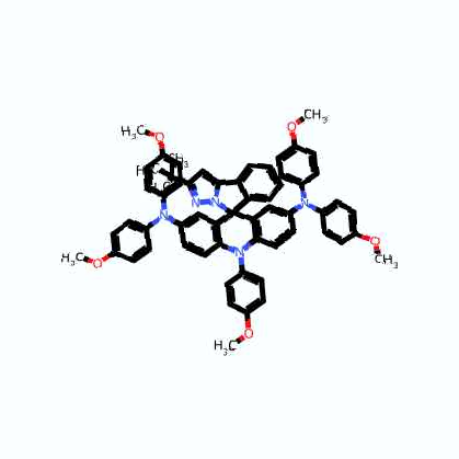 COc1ccc(N(c2ccc(OC)cc2)c2ccc3c(c2)C2(c4ccccc4-c4cc(C(C)(C)C)nn42)c2cc(N(c4ccc(OC)cc4)c4ccc(OC)cc4)ccc2N3c2ccc(OC)cc2)cc1